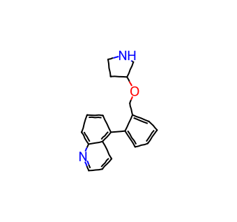 c1ccc(-c2cccc3ncccc23)c(COC2CCNC2)c1